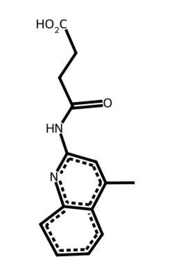 Cc1cc(NC(=O)CCC(=O)O)nc2ccccc12